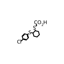 O=C(O)CSC1CCCCC1Sc1ccc(Cl)cc1